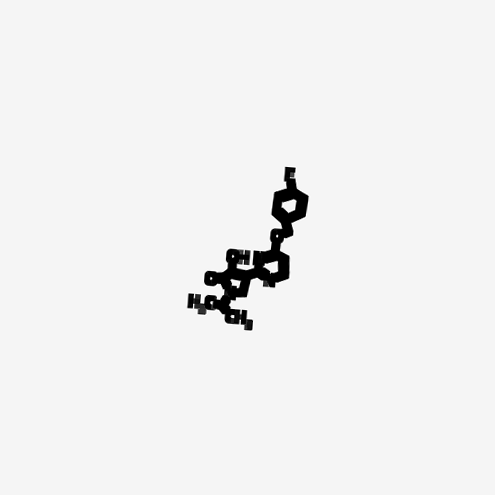 CC(C)N1CC(c2nccc(OCc3ccc(F)cc3)n2)=C(O)C1=O